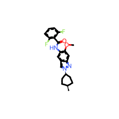 COc1cc2nn([C@H]3CC[C@H](C)CC3)cc2cc1NC(=O)c1c(F)cccc1F